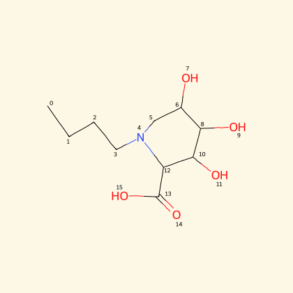 CCCCN1CC(O)C(O)C(O)C1C(=O)O